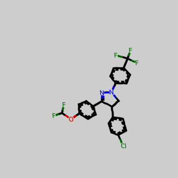 FC(F)Oc1ccc(C2=NN(c3ccc(C(F)(F)F)cc3)CC2c2ccc(Cl)cc2)cc1